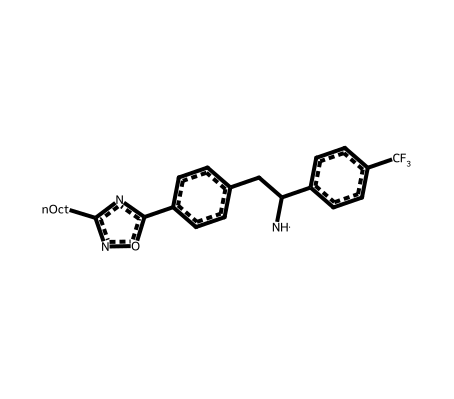 CCCCCCCCc1noc(-c2ccc(CC([NH])c3ccc(C(F)(F)F)cc3)cc2)n1